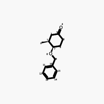 C[C@H]1CC(=O)CC[C@H]1OCc1ccccc1